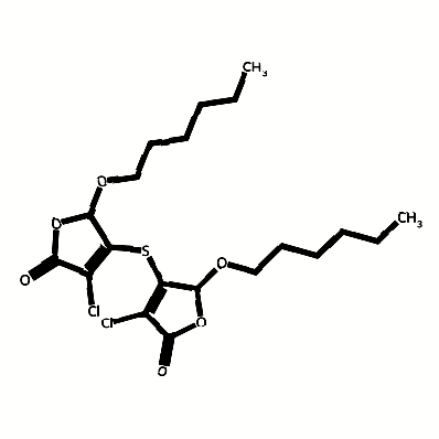 CCCCCCOC1OC(=O)C(Cl)=C1SC1=C(Cl)C(=O)OC1OCCCCCC